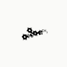 Cn1cc(-c2ccc(N(C(=O)NCc3ccccc3)C3CCCCC3)nc2)cn1